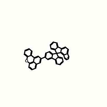 c1ccc2c(c1)Oc1cccc3cc(-c4ccc5c(c4)-c4ccccc4C54c5ccccc5-c5ccc6ccccc6c54)cc-2c13